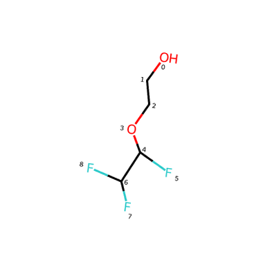 OCCOC(F)C(F)F